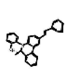 CC1c2ccccc2-c2cc(/C=C/c3ccccc3)ccc2N1c1ccccc1N